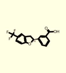 O=C(O)c1cccc([C@@H]2Cc3cc(C(F)(F)F)ccc3O2)c1